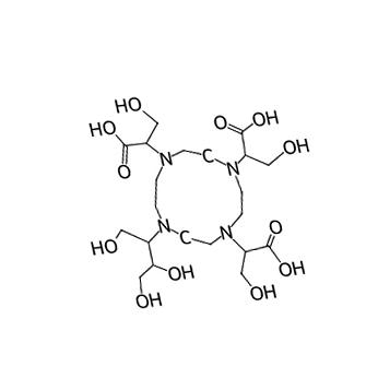 O=C(O)C(CO)N1CCN(C(CO)C(=O)O)CCN(C(CO)C(O)CO)CCN(C(CO)C(=O)O)CC1